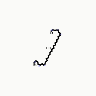 CC/C=C\C/C=C\C/C=C\CCCCCCCCC(O)CCCCCCCC/C=C\C/C=C\C/C=C\CC